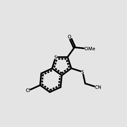 COC(=O)c1sc2cc(Cl)ccc2c1SCC#N